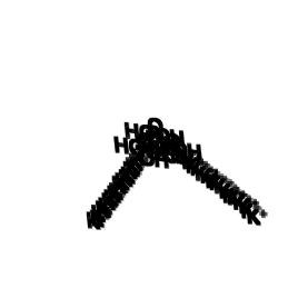 O=P(O)(O)O.O=P(O)(O)O.O=P(O)(O)O.[K+].[K+].[K+].[K+].[K+].[K+].[K+].[K+].[K+].[K+].[K+].[K+].[K+].[K+].[K+].[K+].[K+].[K+].[K+].[K+].[K+].[K+].[K+].[K+].[K+].[K+].[K+].[K+].[K+].[K+].[K+].[K+].[K+]